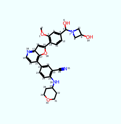 COc1cc(C(O)N2CC(O)C2)ccc1-c1cc2nccc(-c3ccc(NC4CCOCC4)c(C#N)c3)c2o1